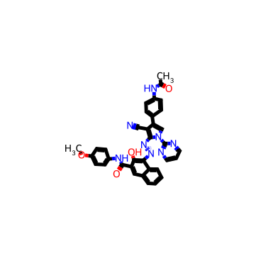 COc1ccc(NC(=O)c2cc3ccccc3c(/N=N/c3c(C#N)c(-c4ccc(NC(C)=O)cc4)cn3-c3ncccn3)c2O)cc1